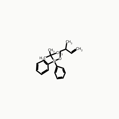 C=CC(C)CO[Si](c1ccccc1)(c1ccccc1)C(C)(C)C